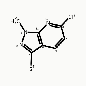 Cn1nc(Br)c2ccc(Cl)nc21